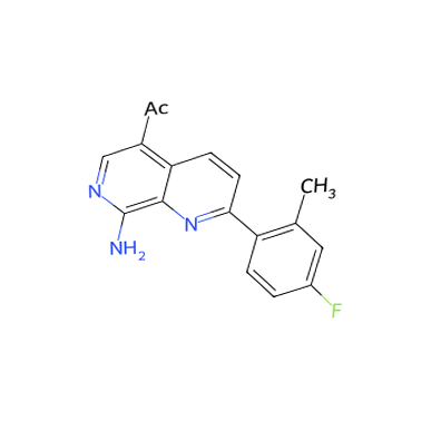 CC(=O)c1cnc(N)c2nc(-c3ccc(F)cc3C)ccc12